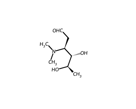 C[C@@H](O)[C@@H](O)[C@H](CC=O)N(C)C